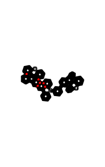 c1ccc(-c2ccccc2N(c2cccc(-c3ccc4c(c3)C3(c5ccccc5Oc5ccccc53)c3ccccc3-4)c2)c2cccc(-c3ccc4c(c3)C3(c5ccccc5Oc5ccccc53)c3ccccc3-4)c2)cc1